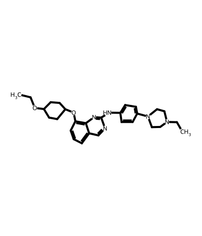 CCOC1CCC(Oc2cccc3cnc(Nc4ccc(N5CCN(CC)CC5)cc4)nc23)CC1